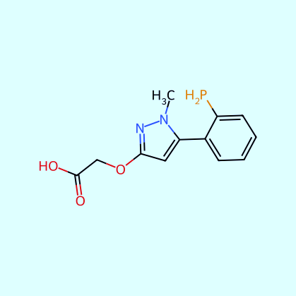 Cn1nc(OCC(=O)O)cc1-c1ccccc1P